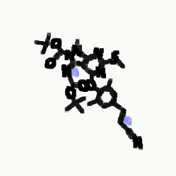 CSc1nc(Oc2c(C)cc(/C=C/C#N)cc2C)c2/c(=N\C(=O)OC(C)(C)C)n(C(=O)OC(C)(C)C)n(C)c2n1